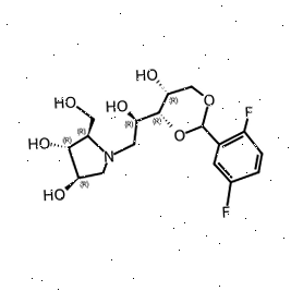 OC[C@@H]1[C@@H](O)[C@H](O)CN1C[C@@H](O)[C@H]1OC(c2cc(F)ccc2F)OC[C@H]1O